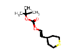 CC(C)(C)OC(=O)OC=CC1CCSCC1